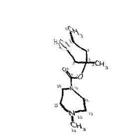 CCCC(C)(CC)OC(=O)N1CCN(C)CC1